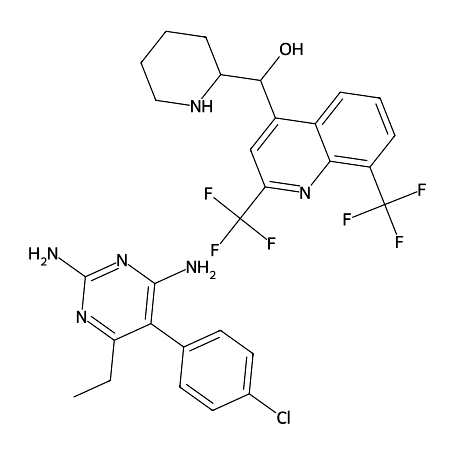 CCc1nc(N)nc(N)c1-c1ccc(Cl)cc1.OC(c1cc(C(F)(F)F)nc2c(C(F)(F)F)cccc12)C1CCCCN1